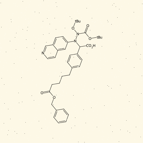 CC(C)(C)OC(=O)N(OC(C)(C)C)N(c1ccc2cnccc2c1)C(C(=O)O)c1ccc(CCCCC(=O)OCc2ccccc2)cc1